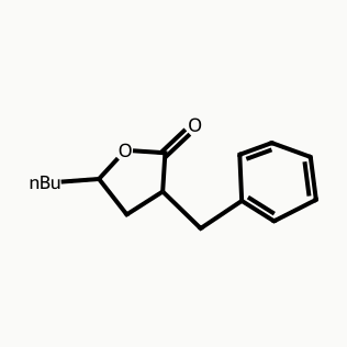 CCCCC1CC(Cc2ccccc2)C(=O)O1